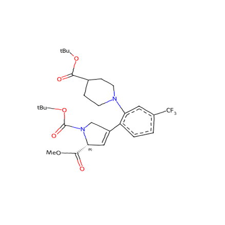 COC(=O)[C@H]1C=C(c2ccc(C(F)(F)F)cc2N2CCC(C(=O)OC(C)(C)C)CC2)CN1C(=O)OC(C)(C)C